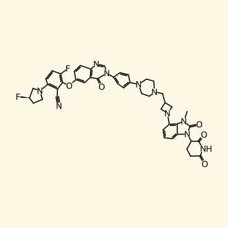 Cn1c(=O)n(C2CCC(=O)NC2=O)c2cccc(N3CC(CN4CCN(c5ccc(-n6cnc7ccc(Oc8c(F)ccc(N9CC[C@@H](F)C9)c8C#N)cc7c6=O)cc5)CC4)C3)c21